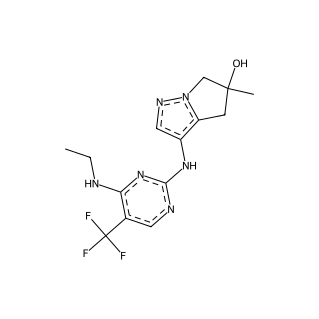 CCNc1nc(Nc2cnn3c2CC(C)(O)C3)ncc1C(F)(F)F